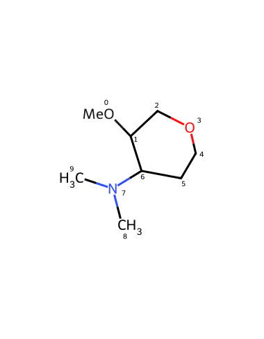 COC1COCCC1N(C)C